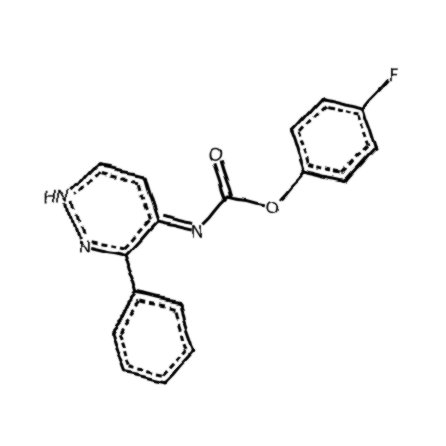 O=C(N=c1cc[nH]nc1-c1ccccc1)Oc1ccc(F)cc1